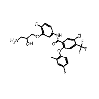 Cc1cc(F)ccc1Oc1cc(C(F)(F)F)c(Cl)cc1C(=O)Nc1ccc(F)c(OCC(O)CN)c1